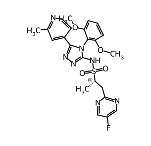 COc1cccc(OC)c1-n1c(NS(=O)(=O)[C@@H](C)Cc2ncc(F)cn2)nnc1-c1ccnc(C)c1